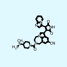 CN(C)C1CCN(C(=O)N2CCn3cc(C4=C(c5cnc6ccccn56)C(=O)NC4=O)c4cc(C#N)cc(c43)C2)CC1